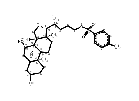 Cc1ccc(S(=O)(=O)OCCC[C@@H](C)[C@H]2CC[C@H]3[C@@H]4[C@@H](O)CC5C[C@H](O)CC[C@]5(C)[C@H]4CC[C@]23C)cc1